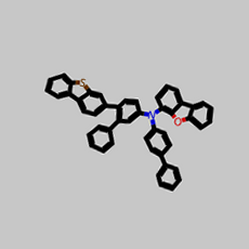 c1ccc(-c2ccc(N(c3ccc(-c4ccc5c(c4)sc4ccccc45)c(-c4ccccc4)c3)c3cccc4c3oc3ccccc34)cc2)cc1